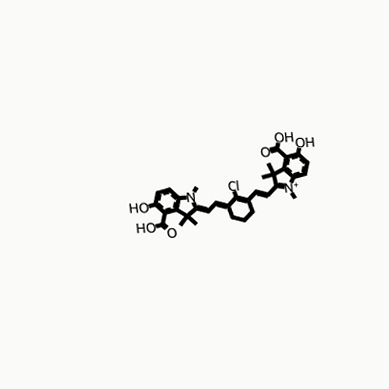 CN1C(=CC=C2CCCC(C=CC3=[N+](C)c4ccc(O)c(C(=O)O)c4C3(C)C)=C2Cl)C(C)(C)c2c1ccc(O)c2C(=O)O